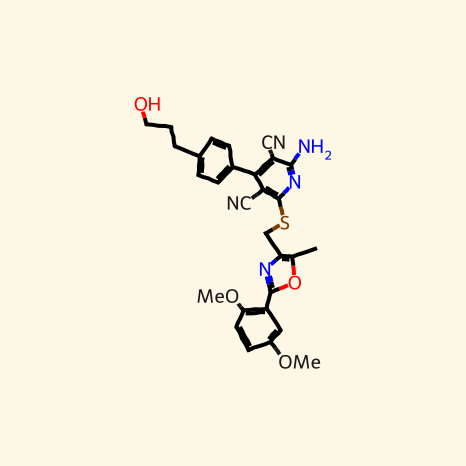 COc1ccc(OC)c(-c2nc(CSc3nc(N)c(C#N)c(-c4ccc(CCCO)cc4)c3C#N)c(C)o2)c1